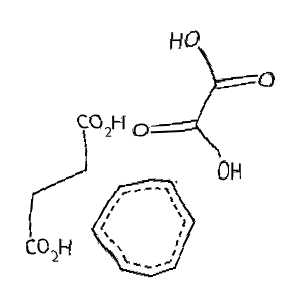 O=C(O)C(=O)O.O=C(O)CCC(=O)O.[c]1ccccc1